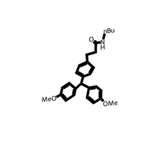 CCCCNC(=O)CCc1ccc(C(c2ccc(OC)cc2)c2ccc(OC)cc2)cc1